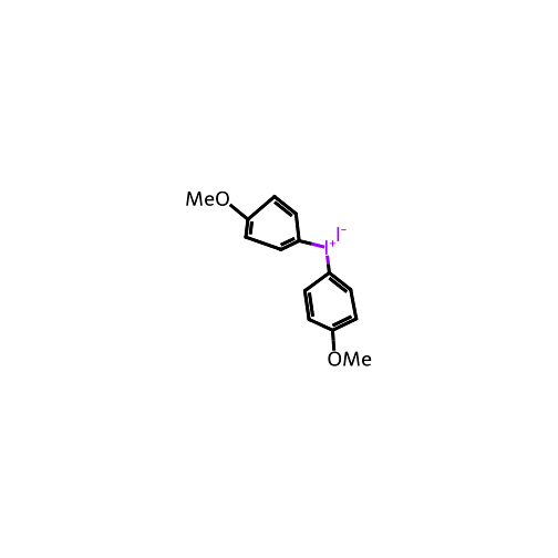 COc1ccc([I+]c2ccc(OC)cc2)cc1.[I-]